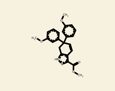 COC(=O)c1n[nH]c2c1C=CC(c1cccc(OC)c1)(c1cccc(OC)c1)C2